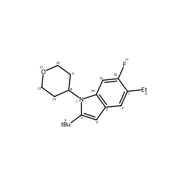 CCc1cc2cc(C(C)(C)C)n(C3CCOCC3)c2cc1F